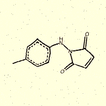 Cc1ccc(NN2C(=O)C=CC2=O)cc1